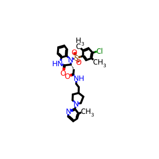 Cc1cc(S(=O)(=O)N2c3ccccc3NC(=O)[C@H]2CC(=O)NCCC2CCN(c3ncccc3C)CC2)c(C)cc1Cl